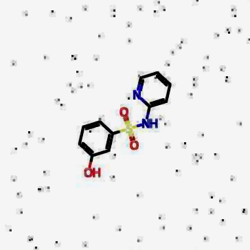 O=S(=O)(Nc1ccccn1)c1[c]ccc(O)c1